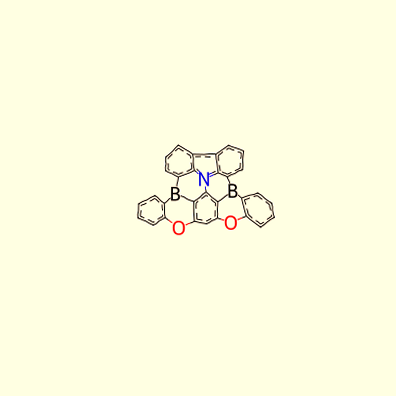 c1ccc2c(c1)Oc1cc3c4c5c1B2c1cccc2c6cccc(c6n-5c12)B4c1ccccc1O3